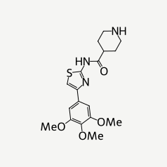 COc1cc(-c2csc(NC(=O)C3CCNCC3)n2)cc(OC)c1OC